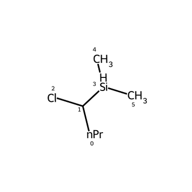 CCCC(Cl)[SiH](C)C